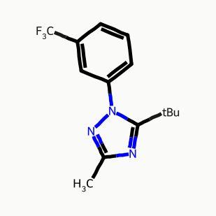 Cc1nc(C(C)(C)C)n(-c2cccc(C(F)(F)F)c2)n1